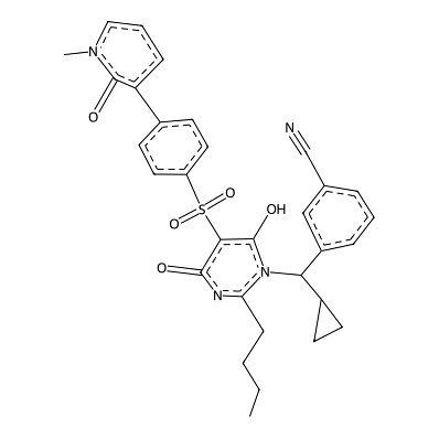 CCCCc1nc(=O)c(S(=O)(=O)c2ccc(-c3cccn(C)c3=O)cc2)c(O)n1C(c1cccc(C#N)c1)C1CC1